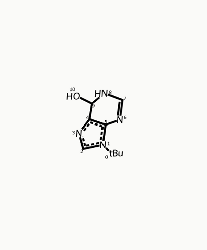 CC(C)(C)n1cnc2c1N=CNC2O